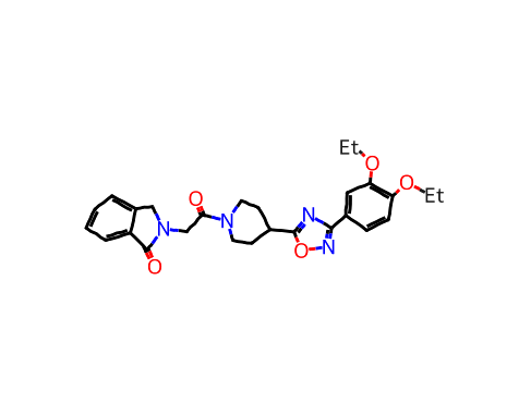 CCOc1ccc(-c2noc(C3CCN(C(=O)CN4Cc5ccccc5C4=O)CC3)n2)cc1OCC